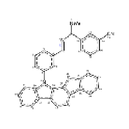 CNC(/N=C/c1cccc(-n2c3ccccc3c3ccc4c5ccccc5oc4c32)c1)c1cccc(C#N)c1